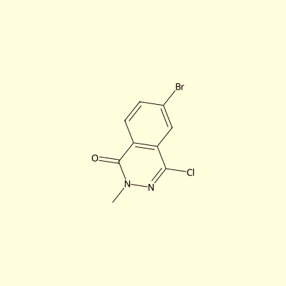 Cn1nc(Cl)c2cc(Br)ccc2c1=O